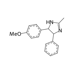 COc1ccc(C2NC(C)=NC2c2ccccc2)cc1